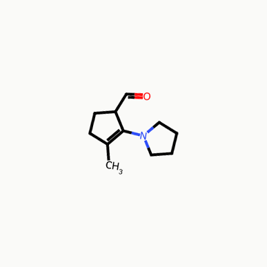 CC1=C(N2CCCC2)C(C=O)CC1